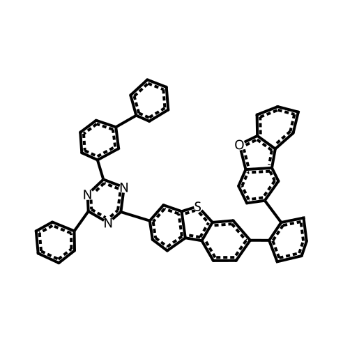 c1ccc(-c2cccc(-c3nc(-c4ccccc4)nc(-c4ccc5c(c4)sc4cc(-c6ccccc6-c6ccc7oc8ccccc8c7c6)ccc45)n3)c2)cc1